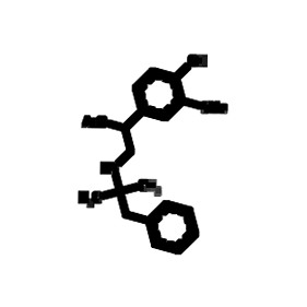 CSc1cc(C(CNC(C)(C)Cc2ccccc2)OC(C)=O)ccc1O